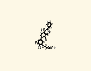 CCc1c(F)cc(N2CCC3=C(C=NC(c4ccccn4)N3)C2C)cc1OCCSC